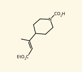 CCOC(=O)C=C(C)C1CCN(C(=O)O)CC1